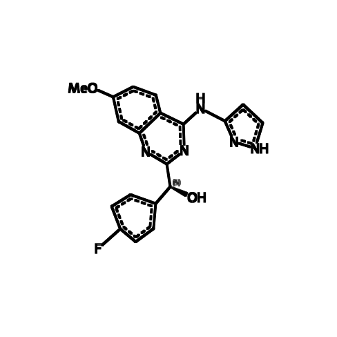 COc1ccc2c(Nc3cc[nH]n3)nc([C@@H](O)c3ccc(F)cc3)nc2c1